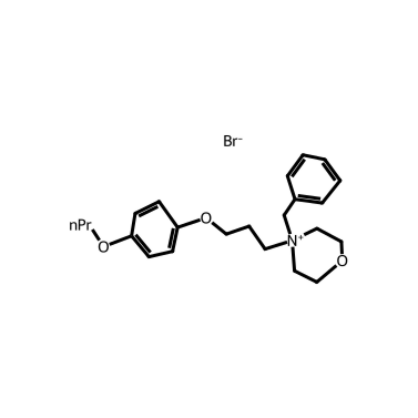 CCCOc1ccc(OCCC[N+]2(Cc3ccccc3)CCOCC2)cc1.[Br-]